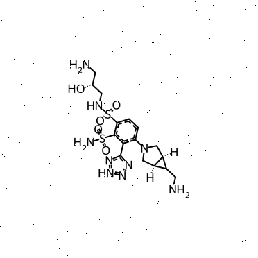 NCC1[C@H]2CN(c3ccc(S(=O)(=O)NC[C@H](O)CN)c(S(N)(=O)=O)c3-c3nn[nH]n3)C[C@@H]12